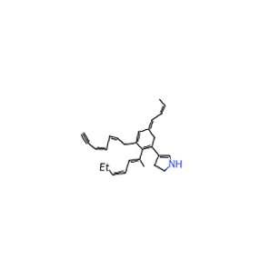 C#C/C=C\C=C/CC1=C/C(=C/C=C\C)CC(C2=CNCC2)=C1/C(C)=C/C=C\CC